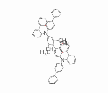 Cc1cc(N(c2ccc(-c3ccccc3)cc2)c2ccccc2-c2ccccc2)cc(C)c1-c1c(C)cc(N(c2ccc(-c3ccccc3)cc2)c2ccccc2-c2ccccc2)cc1C